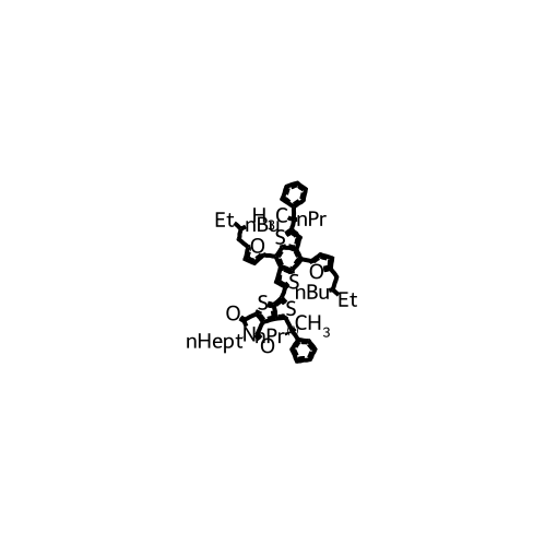 CCCCCCCN1C(=O)c2sc3c(-c4cc5c(-c6ccc(CC(CC)CCCC)o6)c6sc(C(C)(CCC)c7ccccc7)cc6c(-c6ccc(CC(CC)CCCC)o6)c5s4)sc([C@@](C)(CCC)c4ccccc4)c3c2C1=O